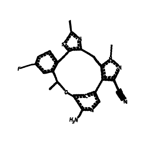 Cc1nc2c(s1)-c1ccc(F)cc1C(C)Oc1cc(cnc1N)-c1c(C#N)nn(C)c1C2